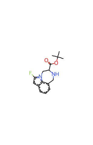 CC(C)(C)OC(=O)C1Cn2c(F)cc3cccc(c32)CN1